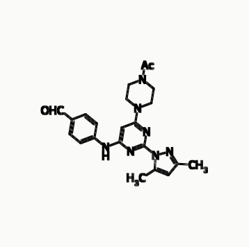 CC(=O)N1CCN(c2cc(Nc3ccc(C=O)cc3)nc(-n3nc(C)cc3C)n2)CC1